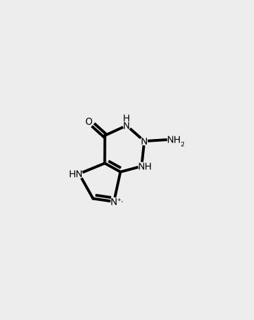 NN1NC(=O)C2=C([N+]=CN2)N1